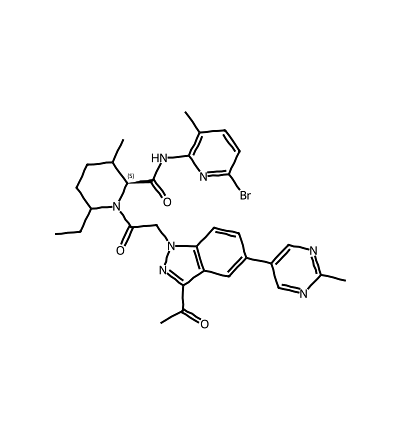 CCC1CCC(C)[C@@H](C(=O)Nc2nc(Br)ccc2C)N1C(=O)Cn1nc(C(C)=O)c2cc(-c3cnc(C)nc3)ccc21